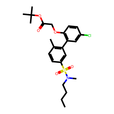 CCCCN(C)S(=O)(=O)c1ccc(C)c(-c2cc(Cl)ccc2OCC(=O)OC(C)(C)C)c1